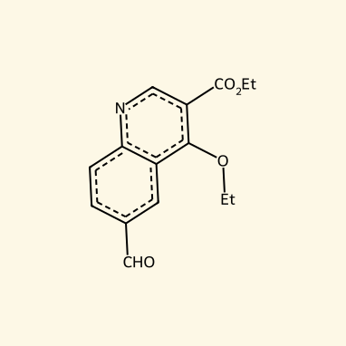 CCOC(=O)c1cnc2ccc(C=O)cc2c1OCC